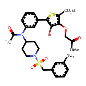 CCOC(=O)c1sc(-c2cccc(N(C(=O)C(F)(F)F)C3CCN(S(=O)(=O)Cc4cccc([N+](=O)[O-])c4)CC3)c2)c(Br)c1OCC(=O)OC